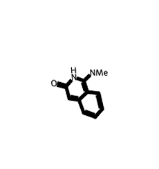 CNc1[nH]c(=O)cc2ccccc12